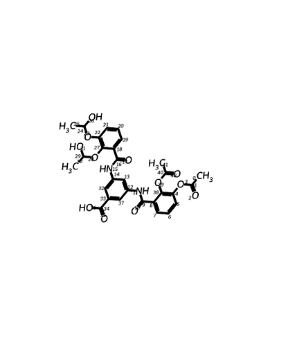 CC(=O)Oc1cccc(C(=O)Nc2cc(NC(=O)c3cccc(OC(C)O)c3OC(C)O)cc(C(=O)O)c2)c1OC(C)=O